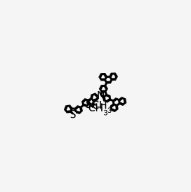 C[Si]1(C)c2cc(-c3ccc4sc5ccccc5c4c3)ccc2-c2ccc(-n3c4ccc(-c5cc6ccccc6c6ccccc56)cc4c4cc(-c5cc6ccccc6c6ccccc56)ccc43)cc21